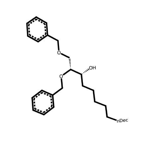 CCCCCCCCCCCCCCC[C@@H](O)[C@@H](COCc1ccccc1)OCc1ccccc1